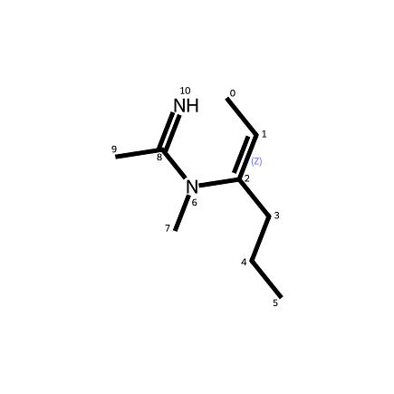 C/C=C(/CCC)N(C)C(C)=N